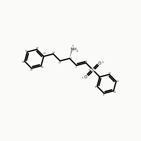 N[C@H](/C=C/S(=O)(=O)c1ccccc1)CCc1ccccc1